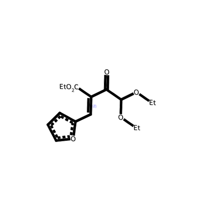 CCOC(=O)/C(=C\c1ccco1)C(=O)C(OCC)OCC